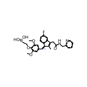 COc1cc(/C=C2/C(C)=C(CC(=O)NCc3ccccn3)c3cc(F)ccc32)cc(OC)c1OCCB(O)O